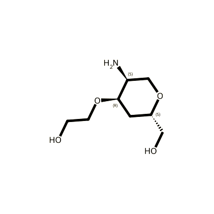 N[C@H]1CO[C@H](CO)C[C@H]1OCCO